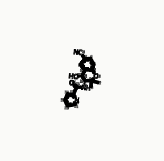 CC1(C)Oc2ccc(C#N)cc2[C@H](O)[C@H]1NC(=O)c1ccccn1